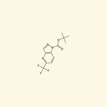 CC(C)(C)OC(=O)n1ncc2nc(C(F)(F)F)ccc21